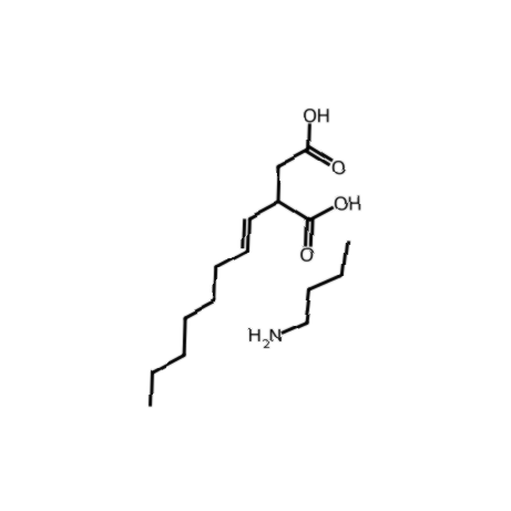 CCCCCCC=CC(CC(=O)O)C(=O)O.CCCCN